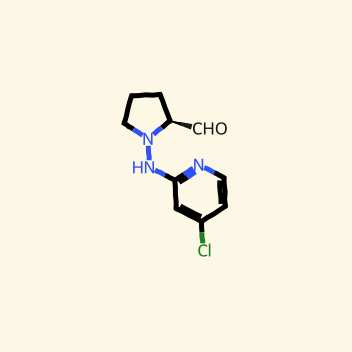 O=C[C@@H]1CCCN1Nc1cc(Cl)ccn1